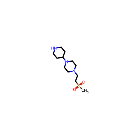 CS(=O)(=O)CCN1CCN(C2CCNCC2)CC1